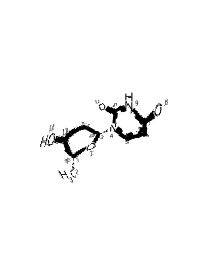 C[C@H]1O[C@@H](n2ccc(=O)[nH]c2=O)CC1O